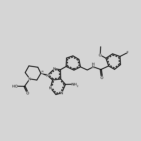 COc1cc(F)ccc1C(=O)NCc1cccc(-c2nn([C@@H]3CCCN(C(=O)O)C3)c3ncnc(N)c23)c1